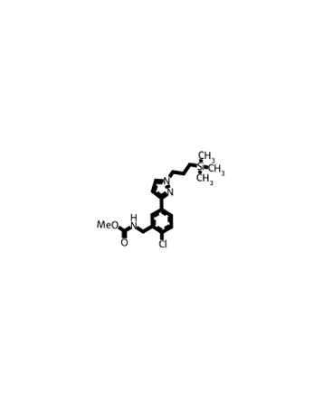 COC(=O)NCc1cc(-c2ccn(CCC[Si](C)(C)C)n2)ccc1Cl